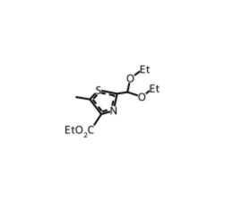 CCOC(=O)c1nc(C(OCC)OCC)sc1C